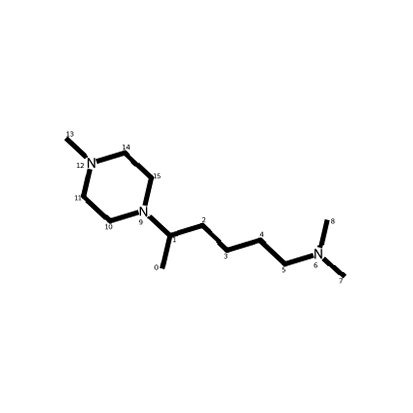 CC(CCCCN(C)C)N1CCN(C)CC1